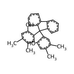 Cc1cc(O)c(C2(c3cc(C)c(C)cc3O)c3ccccc3-c3ccccc32)cc1C